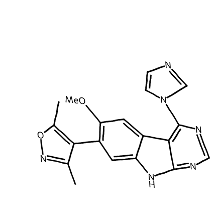 COc1cc2c(cc1-c1c(C)noc1C)[nH]c1ncnc(-n3ccnc3)c12